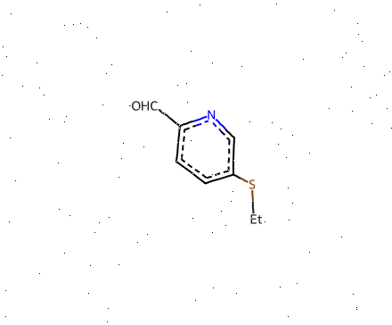 CCSc1ccc([C]=O)nc1